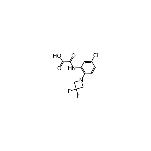 O=C(O)C(=O)Nc1cc(Cl)ccc1N1CC(F)(F)C1